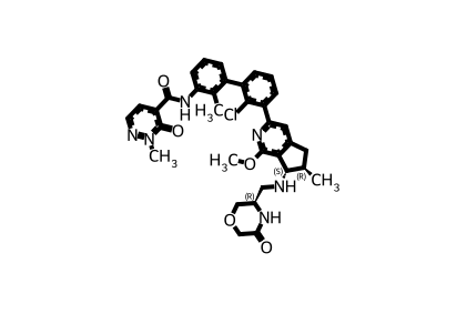 COc1nc(-c2cccc(-c3cccc(NC(=O)c4ccnn(C)c4=O)c3C)c2Cl)cc2c1[C@@H](NC[C@@H]1COCC(=O)N1)[C@H](C)C2